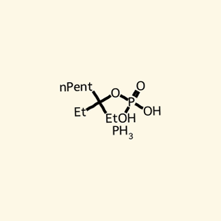 CCCCCC(CC)(CC)OP(=O)(O)O.P